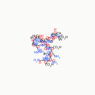 CC(C)C[C@H](NC(=O)[C@@H](NC(=O)[C@H](CC(C)C)NC(=O)[C@@H]1CCCN1C(=O)[C@@H](NC(=O)CNC(=O)[C@@H]1CCCN1C(=O)[C@@H](NC(=O)[C@@H](NC(=O)[C@H](CC(C)C)NC(=O)[C@H](CCCNC(=N)N)NC(=O)CNC(=O)CNC(=O)[C@H](CO)NC(=O)[C@H](CCC(=O)O)NC(=O)[C@H](CCCCN)NC(=O)[C@H](CC(C)C)NC(=O)[C@H](CCC(N)=O)NC(=O)[C@H](CCC(=O)O)NC(=O)[C@@H](N)CCC(N)=O)C(C)C)[C@@H](C)O)[C@@H](C)O)[C@@H](C)O)C(=O)O